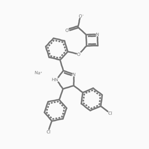 O=C([O-])C1=NC=C1Oc1ccccc1C1=NC(c2ccc(Cl)cc2)C(c2ccc(Cl)cc2)N1.[Na+]